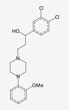 COc1ccccc1N1CCN(CCC(O)c2ccc(Cl)c(Cl)c2)CC1